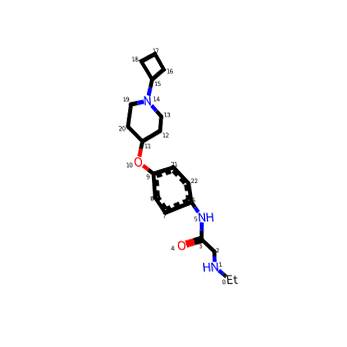 CCNCC(=O)Nc1ccc(OC2CCN(C3CCC3)CC2)cc1